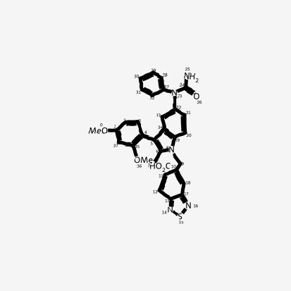 COc1ccc(-c2c(C(=O)O)n(Cc3ccc4nsnc4c3)c3ccc(N(C(N)=O)c4ccccc4)cc23)c(OC)c1